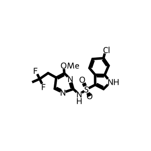 COc1nc(NS(=O)(=O)c2c[nH]c3cc(Cl)ccc23)ncc1CC(C)(F)F